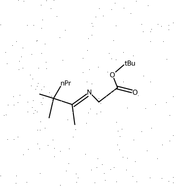 CCCC(C)(C)C(C)=NCC(=O)OC(C)(C)C